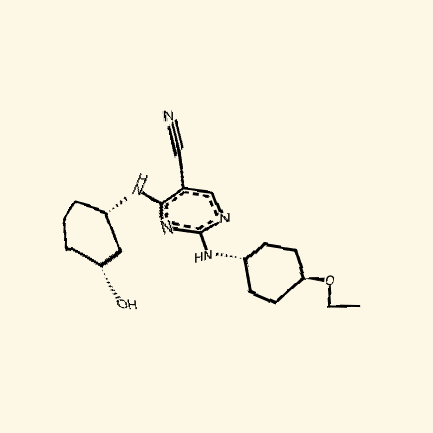 CCO[C@H]1CC[C@H](Nc2ncc(C#N)c(N[C@H]3CCC[C@@H](O)C3)n2)CC1